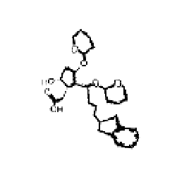 O=C(O)C[C@H]1[C@H](C(CCCC2Cc3ccccc3C2)OC2CCCCO2)[C@@H](OC2CCCCO2)C[C@H]1O